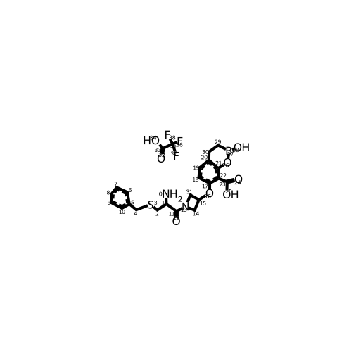 NC(CSCc1ccccc1)C(=O)N1CC(Oc2ccc3c(c2C(=O)O)OB(O)CC3)C1.O=C(O)C(F)(F)F